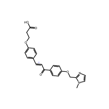 Cn1ccnc1COc1ccc(C(=O)/C=C/c2ccc(OCCC(=O)O)cc2)cc1